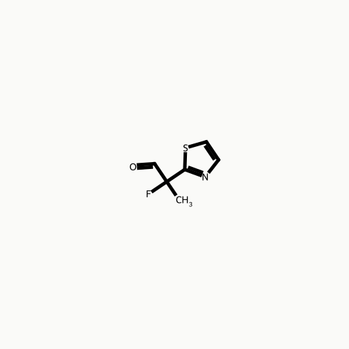 CC(F)(C=O)c1nccs1